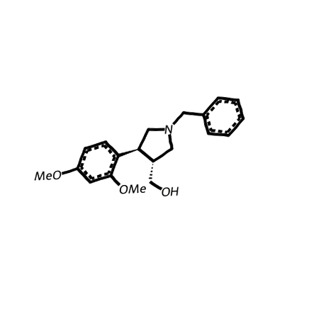 COc1ccc([C@H]2CN(Cc3ccccc3)C[C@@H]2CO)c(OC)c1